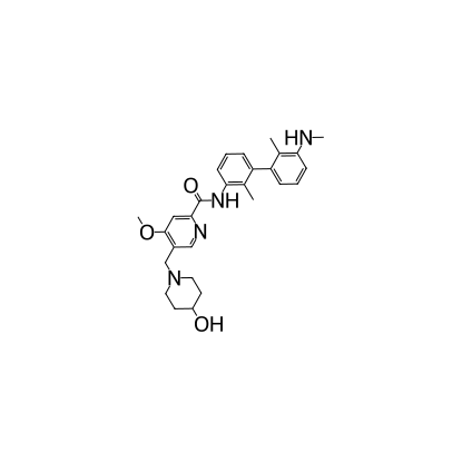 CNc1cccc(-c2cccc(NC(=O)c3cc(OC)c(CN4CCC(O)CC4)cn3)c2C)c1C